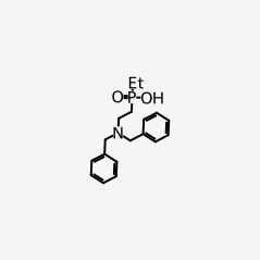 CCP(=O)(O)CCN(Cc1ccccc1)Cc1ccccc1